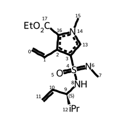 C=Cc1c(S(=O)(=NC)N[C@H](C=C)C(C)C)cn(C)c1C(=O)OCC